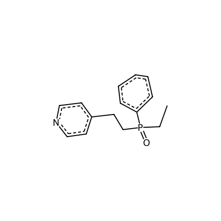 CCP(=O)(CCc1ccncc1)c1ccccc1